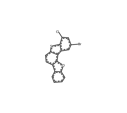 Clc1cc(Br)cc2c1sc1ccc3c4ccccc4oc3c12